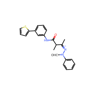 C/C(=N/N(C=O)c1ccccc1)C(C)C(=O)Nc1cccc(-c2cccs2)c1